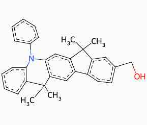 CC1(C)c2cc(CO)ccc2-c2cc3c(cc21)N(c1ccccc1)c1ccccc1C3(C)C